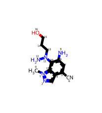 Cn1ncc2c(C#N)cc(N)c(N(N)CCCO)c21